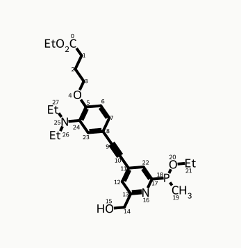 CCOC(=O)CCCOc1ccc(C#Cc2cc(CO)nc(P(C)OCC)c2)cc1N(CC)CC